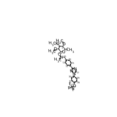 COC1C(C)O[C@@H](ON(C)Cc2ccc(-c3ncn(-c4ccc(OC(F)(F)F)cc4)n3)cc2)[C@H](OC)[C@@H]1OC